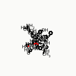 CC(=O)O.CC(=O)O.CCNC(=O)[C@@H]1CCCN1C(=O)[C@H](CCCNC(=N)N)NC(=O)[C@H](CC(C)C)NC(=O)[C@@H](Cc1cn(Cc2ccccc2)cn1)NC(=O)[C@H](Cc1ccc(O)cc1)NC(=O)[C@H](CO)NC(=O)[C@H](Cc1c[nH]c2ccccc12)NC(=O)[C@H](Cc1c[nH]cn1)NC(=O)[C@@H]1CCC(=O)N1.NC(=O)NO